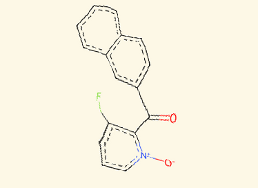 O=C(c1ccc2ccccc2c1)c1c(F)ccc[n+]1[O-]